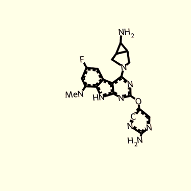 CNc1cc(F)cc2c1[nH]c1nc(Oc3cnc(N)nc3)nc(N3CC4C(N)C4C3)c12